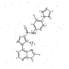 Cc1nc2c(-n3ncc(C(=O)Nc4cnc(-n5nccn5)c(C)c4)c3C(F)(F)F)cccc2s1